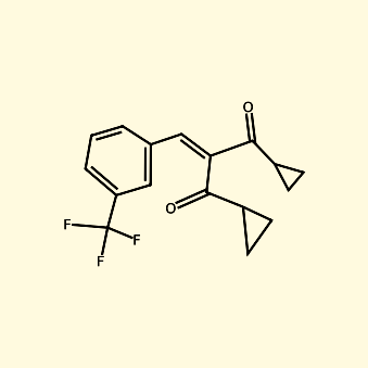 O=C(C(=Cc1cccc(C(F)(F)F)c1)C(=O)C1CC1)C1CC1